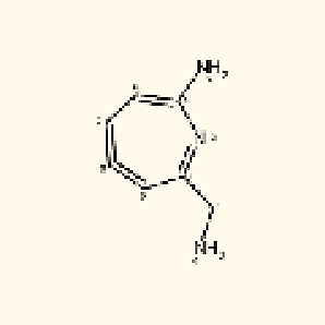 NCC1=NC(N)=CC=C=C1